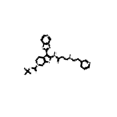 CC(C)(C)OC(=O)N1CCc2c(sc(NC(=O)CCNCCc3cccnc3)c2-c2nc3cnccc3s2)C1